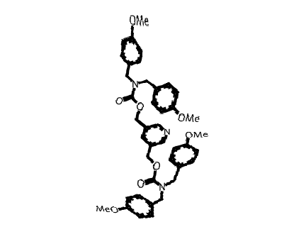 COc1ccc(CN(Cc2ccc(OC)cc2)C(=O)OCc2cncc(COC(=O)N(Cc3ccc(OC)cc3)Cc3ccc(OC)cc3)c2)cc1